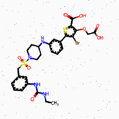 CCNC(=O)Nc1cccc(CS(=O)(=O)N2CCC(Nc3cccc(-c4sc(C(=O)O)c(OCC(=O)O)c4Br)c3)CC2)c1